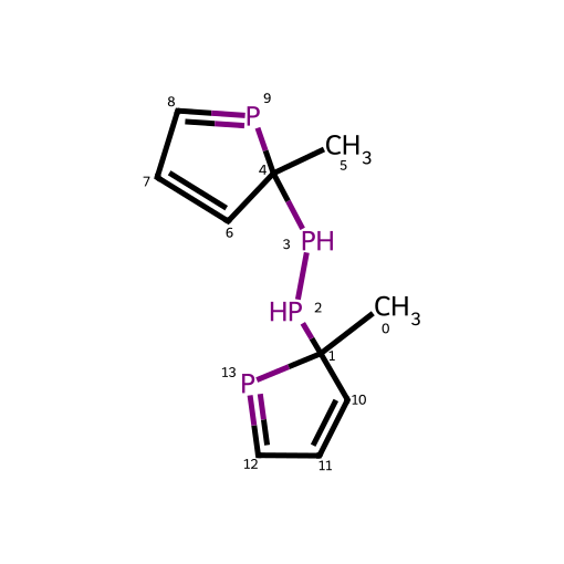 CC1(PPC2(C)C=CC=P2)C=CC=P1